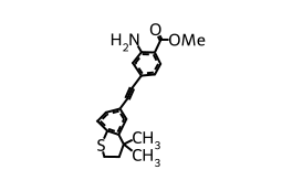 COC(=O)c1ccc(C#Cc2ccc3c(c2)C(C)(C)CCS3)cc1N